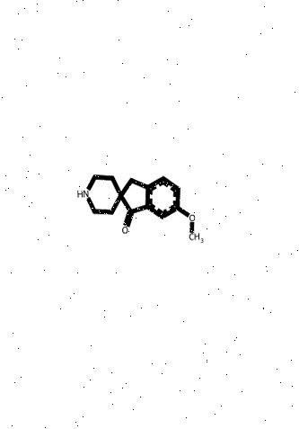 COc1ccc2c(c1)C(=O)C1(CCNCC1)C2